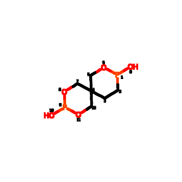 OP1CCC2(CO1)COP(O)OC2